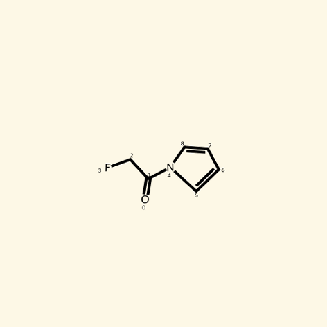 O=C(CF)n1cccc1